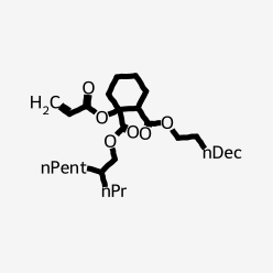 C=CC(=O)OC1(C(=O)OCC(CCC)CCCCC)CCCCC1C(=O)OCCCCCCCCCCCC